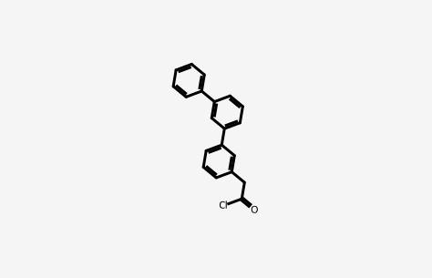 O=C(Cl)Cc1cccc(-c2cccc(-c3ccccc3)c2)c1